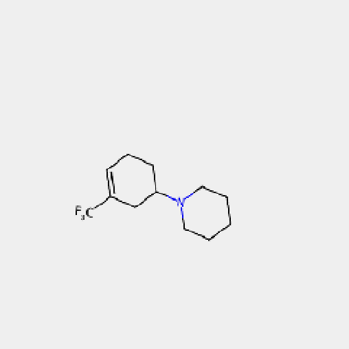 FC(F)(F)C1=CCCC(N2CCCCC2)C1